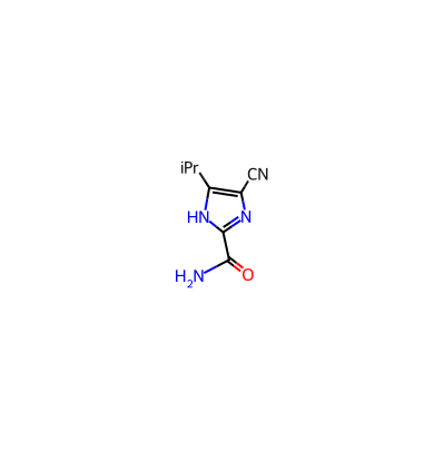 CC(C)c1[nH]c(C(N)=O)nc1C#N